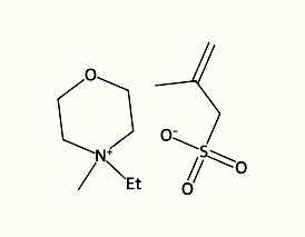 C=C(C)CS(=O)(=O)[O-].CC[N+]1(C)CCOCC1